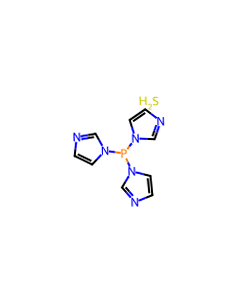 S.c1cn(P(n2ccnc2)n2ccnc2)cn1